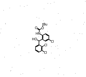 CC(C)(C)OC(=O)Nc1ccc(Cl)cc1C(O)c1cccc(Cl)c1Cl